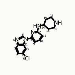 Clc1ccc2ncn(-c3cccc(NC4CCNCC4)n3)c2c1